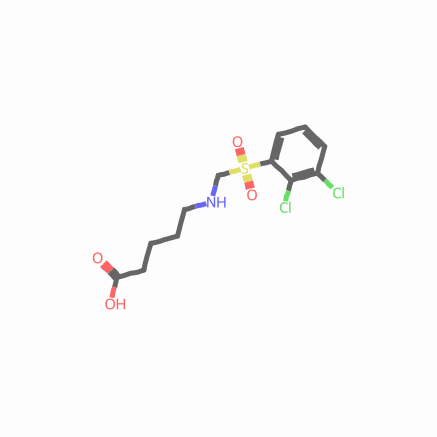 O=C(O)CCCCNCS(=O)(=O)c1cccc(Cl)c1Cl